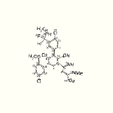 CN/C(=C\C(=N)c1ccc(OC(C)c2ccc(Cl)cc2)c(-c2ccc(Cl)c(C(F)(F)PC)c2)c1O)C(C)(C)C